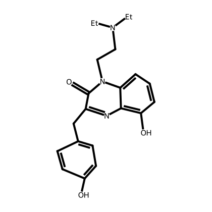 CCN(CC)CCn1c(=O)c(Cc2ccc(O)cc2)nc2c(O)cccc21